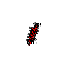 C#CCCCC(=O)NCCN(CCN(CCN(CCN(CCN(CCN(CCN(CCN(CCN(CCN(CCSCCC(=O)O)C(=O)CC)C(=O)CCCC#C)C(=O)CCCC#C)C(=O)CCCC#C)C(=O)CCCC#C)C(=O)CCCC#C)C(=O)CCCC#C)C(=O)CCCC#C)C(=O)CCCC#C)C(=O)CCCC#C